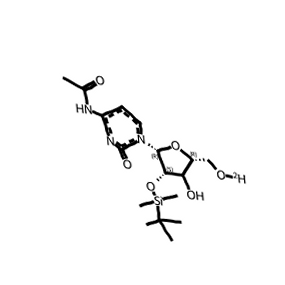 [2H]OC[C@H]1O[C@@H](n2ccc(NC(C)=O)nc2=O)[C@@H](O[Si](C)(C)C(C)(C)C)C1O